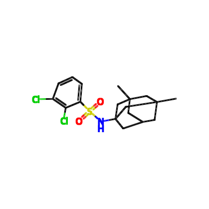 CC12CC3CC(C)(C1)CC(NS(=O)(=O)c1cccc(Cl)c1Cl)(C3)C2